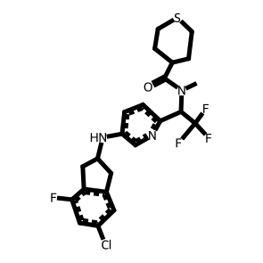 CN(C(=O)C1CCSCC1)C(c1ccc(NC2Cc3cc(Cl)cc(F)c3C2)cn1)C(F)(F)F